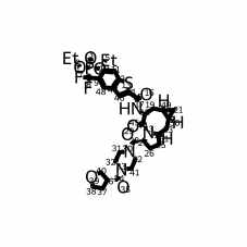 CCOP(=O)(OCC)C(F)(F)c1ccc2sc(C(=O)N[C@H]3C[C@@H]4C[C@@H]4C[C@H]4CC[C@@H](C(=O)N5CCN(C(=O)[C@@H]6CCOC6)CC5)N4C3=O)cc2c1